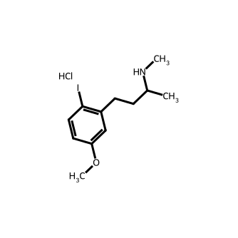 CNC(C)CCc1cc(OC)ccc1I.Cl